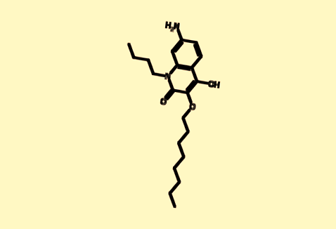 CCCCCCCCOc1c(O)c2ccc(N)cc2n(CCCC)c1=O